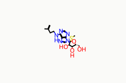 C=C(C)CCNc1ncnc2c1ncn2[C@]1(SC)O[C@H](CO)[C@@H](O)[C@H]1O